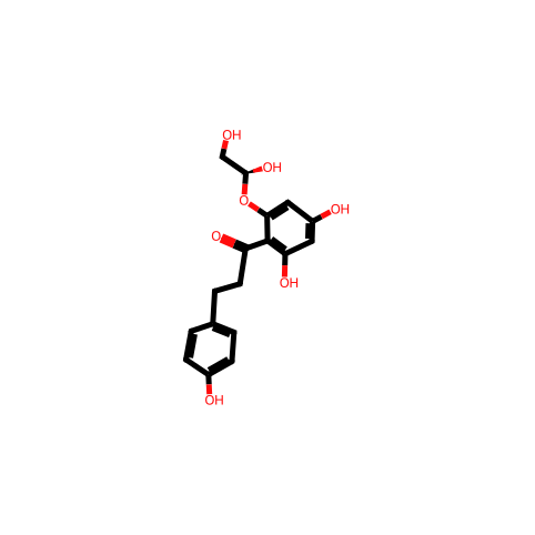 O=C(CCc1ccc(O)cc1)c1c(O)cc(O)cc1O[C@H](O)CO